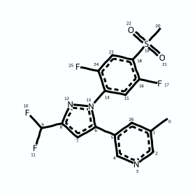 Cc1cncc(-c2cc(C(F)F)nn2-c2cc(F)c(S(C)(=O)=O)cc2F)c1